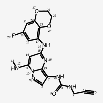 C#CCNC(=O)Nc1cnn2c(NC)cc(Nc3cc(F)cc4c3OCCO4)nc12